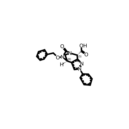 O=C(O)[C@@H]1c2nn(-c3ccccc3)cc2[C@@H]2CN1C(=O)N2OCc1ccccc1